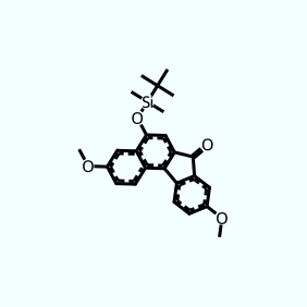 COc1ccc2c(c1)C(=O)c1cc(O[Si](C)(C)C(C)(C)C)c3cc(OC)ccc3c1-2